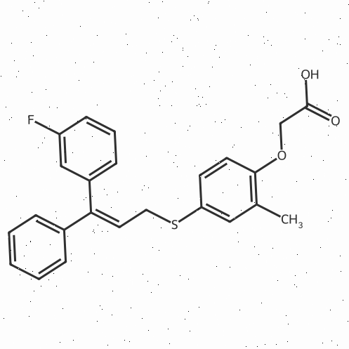 Cc1cc(SCC=C(c2ccccc2)c2cccc(F)c2)ccc1OCC(=O)O